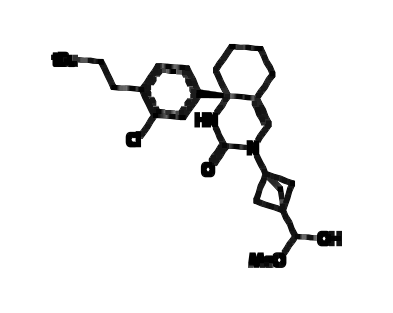 COC(O)C12CC(N3C=C4CCCC[C@@]4(c4ccc(CCC(C)(C)C)c(Cl)c4)NC3=O)(C1)C2